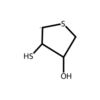 OC1CS[CH]C1S